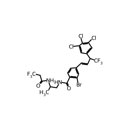 CC(CNC(=O)c1ccc(/C=C/C(c2cc(Cl)c(Cl)c(Cl)c2)C(F)(F)F)cc1Br)NC(=O)CC(F)(F)F